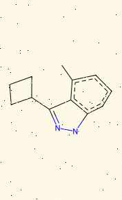 Cc1cccc2c1C(C1CCC1)=N[N]2